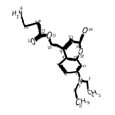 CCN(CC)c1ccc2c(COC(=O)CCN)cc(=O)oc2c1